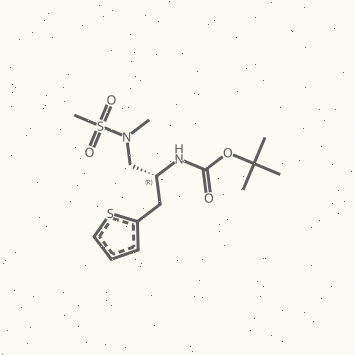 CN(C[C@@H](Cc1cccs1)NC(=O)OC(C)(C)C)S(C)(=O)=O